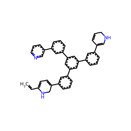 C=CC1=CC=C(c2cccc(-c3cc(-c4cccc(C5=CNCC=C5)c4)cc(-c4cccc(-c5cccnc5)c4)c3)c2)CN1